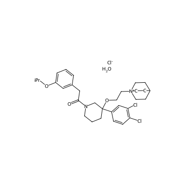 CC(C)Oc1cccc(CC(=O)N2CCCC(OCC[N+]34CCC(CC3)CC4)(c3ccc(Cl)c(Cl)c3)C2)c1.O.[Cl-]